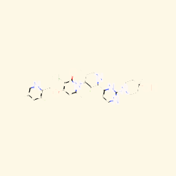 Cc1cc(OCc2ncc(F)cc2F)c(Cl)c(=O)n1C1=C(F)C(c2ccnc(N3CCC(C)(O)CC3)n2)=NC[C@@H]1C